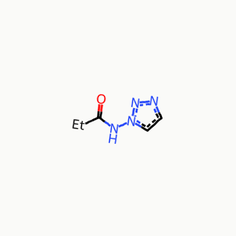 CCC(=O)Nn1ccnn1